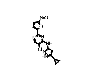 O=Nc1ccc(-c2ncc(Cl)c(Nc3cc(C4CC4)[nH]n3)n2)o1